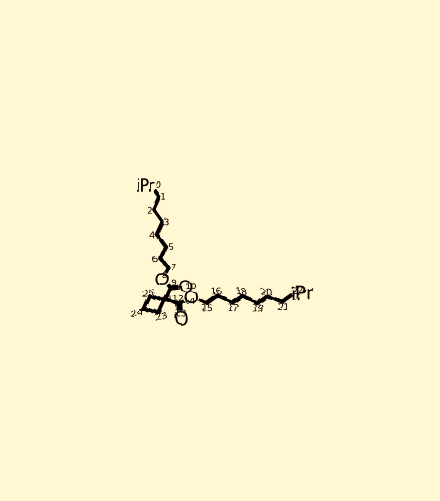 CC(C)CCCCCCCOC(=O)C1(C(=O)OCCCCCCCC(C)C)CCC1